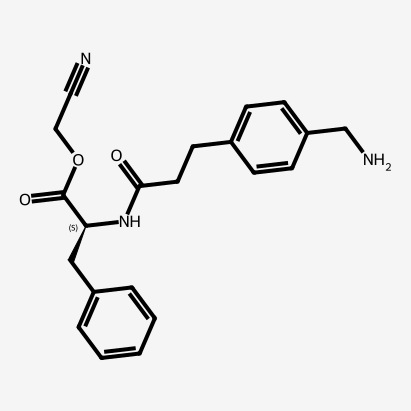 N#CCOC(=O)[C@H](Cc1ccccc1)NC(=O)CCc1ccc(CN)cc1